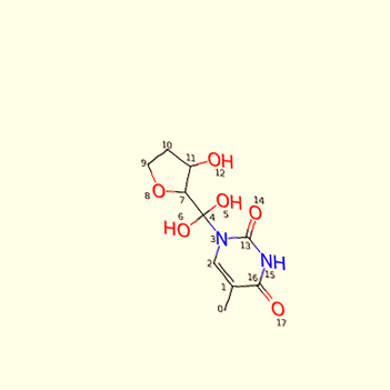 Cc1cn(C(O)(O)C2OCCC2O)c(=O)[nH]c1=O